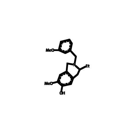 CCC1Cc2cc(O)c(OC)cc2CN1Cc1cccc(OC)c1